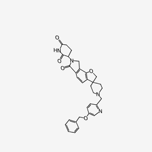 O=C1CCC(N2Cc3c(ccc4c3OCC43CCN(Cc4ccc(OCc5ccccc5)cn4)CC3)C2=O)C(=O)N1